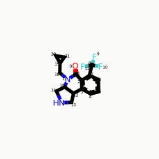 O=C1c2c(cccc2C(F)(F)F)C2CNCC2N1CC1CC1